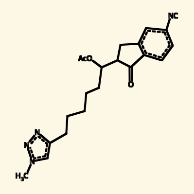 [C-]#[N+]c1ccc2c(c1)CC(C(CCCCCc1cn(C)nn1)OC(C)=O)C2=O